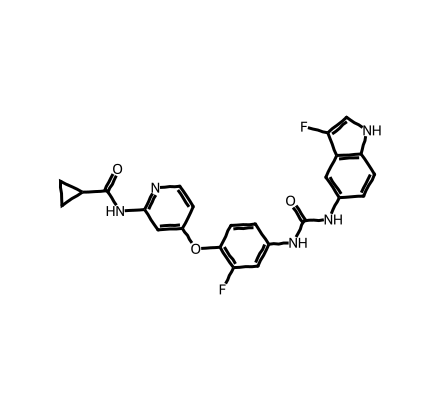 O=C(Nc1ccc(Oc2ccnc(NC(=O)C3CC3)c2)c(F)c1)Nc1ccc2[nH]cc(F)c2c1